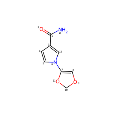 NC(=O)c1ccn(C2=COCO2)c1